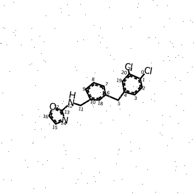 Clc1ccc(Cc2cccc(CNc3ncco3)c2)cc1Cl